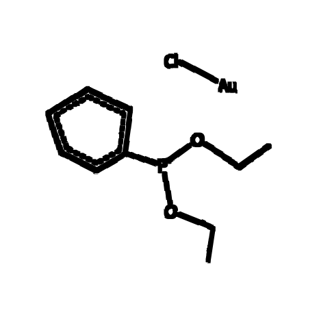 CCOP(OCC)c1ccccc1.[Cl][Au]